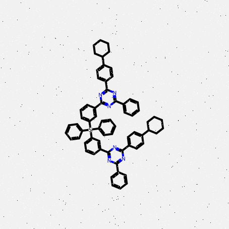 c1ccc(-c2nc(-c3ccc(C4CCCCC4)cc3)nc(-c3cccc([Si](c4ccccc4)(c4ccccc4)c4cccc(-c5nc(-c6ccccc6)nc(-c6ccc(C7CCCCC7)cc6)n5)c4)c3)n2)cc1